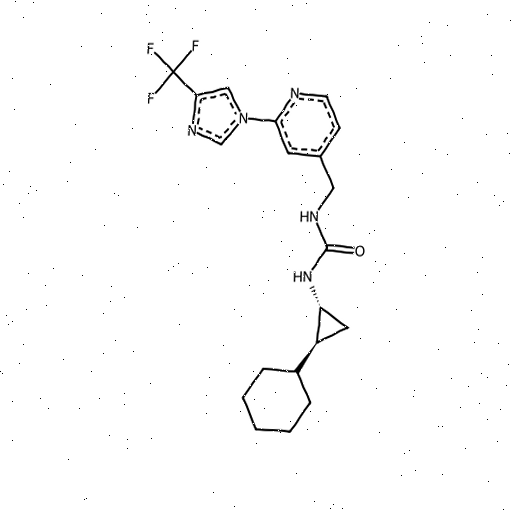 O=C(NCc1ccnc(-n2cnc(C(F)(F)F)c2)c1)N[C@@H]1C[C@H]1C1CCCCC1